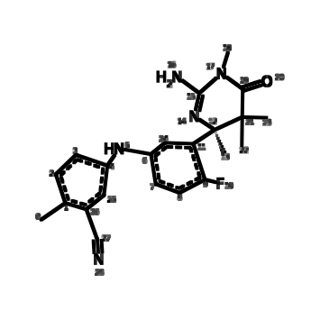 Cc1ccc(Nc2ccc(F)c([C@@]3(C)N=C(N)N(C)C(=O)C3(C)C)c2)cc1C#N